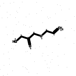 C=CCOCC(=O)CO